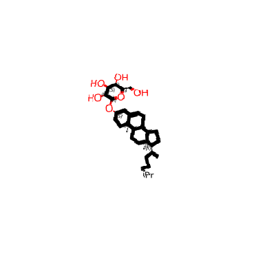 CC(C)CCCC(C)[C@H]1CCC2C3CC=C4C[C@@H](O[C@@H]5O[C@H](CO)[C@@H](O)[C@H](O)[C@H]5O)CC[C@]4(C)C3CC[C@@]21C